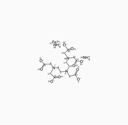 O=C([O-])CN(CCN(CC(=O)[O-])CC(=O)[O-])CCN(CC(=O)[O-])CC(=O)[O-].[Fe+3].[NH4+].[NH4+]